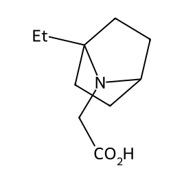 [CH2]CC12CCC(CC1)N2CC(=O)O